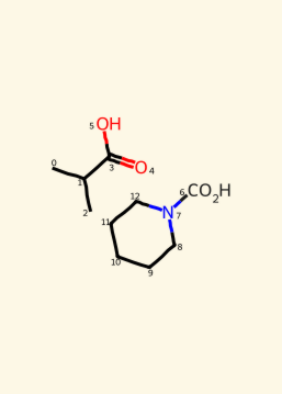 CC(C)C(=O)O.O=C(O)N1CCCCC1